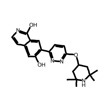 CC1(C)CC(Oc2ccc(-c3cc4c(O)nccc4cc3O)nn2)CC(C)(C)N1